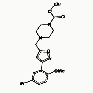 COc1ccc(C(C)C)cc1-c1cc(CN2CCN(C(=O)OC(C)(C)C)CC2)on1